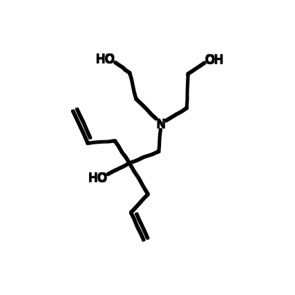 C=CCC(O)(CC=C)CN(CCO)CCO